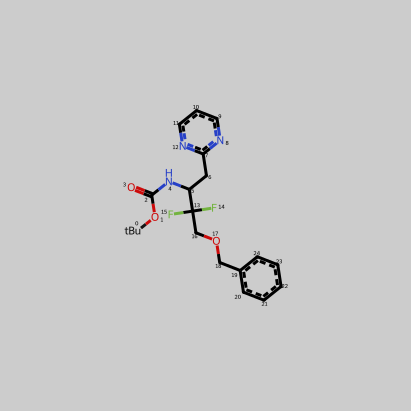 CC(C)(C)OC(=O)NC(Cc1ncccn1)C(F)(F)COCc1ccccc1